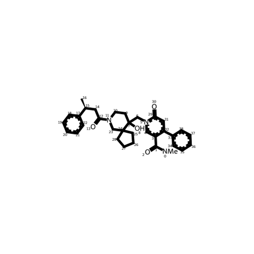 CNC(=O)c1cn(CC2(O)CCN(C(=O)C[C@H](C)c3ccccc3)CC23CCCC3)c(=O)cc1-c1ccccc1